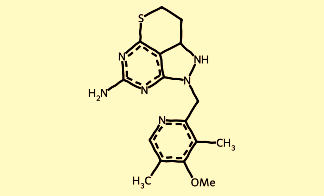 COc1c(C)cnc(CN2NC3CCSc4nc(N)nc2c43)c1C